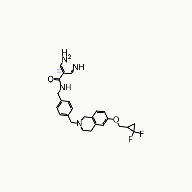 N=C/C(=C\N)C(=O)NCc1ccc(CN2CCc3cc(OCC4CC4(F)F)ccc3C2)cc1